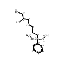 CO[Si](CCCOCC(S)CS)(OC)c1ccccc1